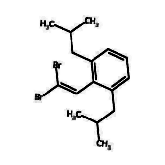 CC(C)Cc1cccc(CC(C)C)c1C=C(Br)Br